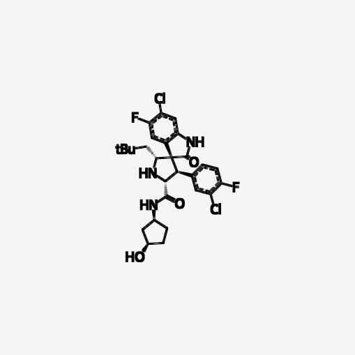 CC(C)(C)C[C@H]1N[C@@H](C(=O)N[C@H]2CC[C@@H](O)C2)[C@H](c2ccc(F)c(Cl)c2)[C@@]12C(=O)Nc1cc(Cl)c(F)cc12